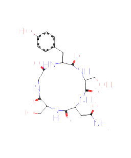 NC(=O)CC1NC(=O)C(CO)NC(=O)C(Cc2ccc(O)cc2)NC(=O)CNC(=O)C(CO)NC1=O